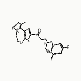 Cc1cnn2c1-c1cc(C(=O)CC[C@H](CN)Cc3cc(F)cc(F)c3)sc1OCC2